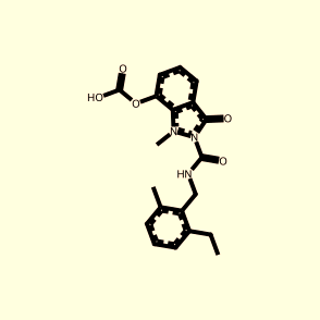 CCc1cccc(C)c1CNC(=O)n1c(=O)c2cccc(OC(=O)O)c2n1C